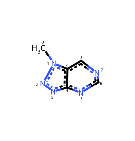 Cn1nnc2ncncc21